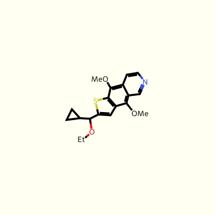 CCOC(c1cc2c(OC)c3cnccc3c(OC)c2s1)C1CC1